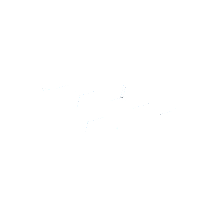 COCC(COC(=O)CCCC(C)=O)OC(C)CO